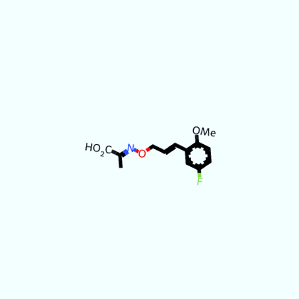 COc1ccc(F)cc1C=CCON=C(C)C(=O)O